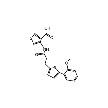 COc1ccccc1-c1ccc(CCC(=O)Nc2cscc2C(=O)O)s1